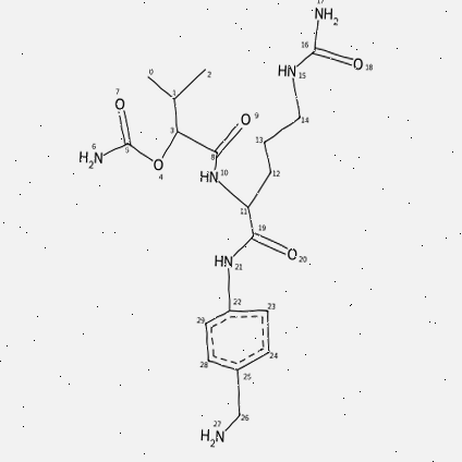 CC(C)C(OC(N)=O)C(=O)NC(CCCNC(N)=O)C(=O)Nc1ccc(CN)cc1